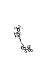 Cc1ccc(NC(=O)NCCCCCCSc2cccc3c2CN(C2CCC(=O)NC2=O)C3=O)cc1Cl